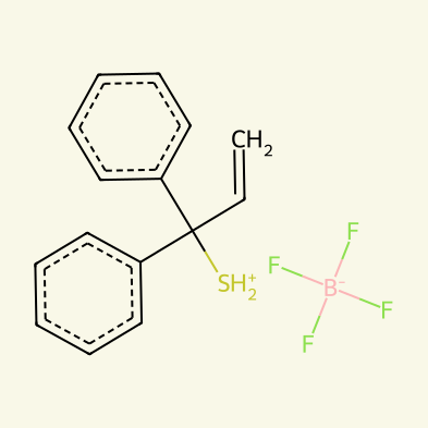 C=CC([SH2+])(c1ccccc1)c1ccccc1.F[B-](F)(F)F